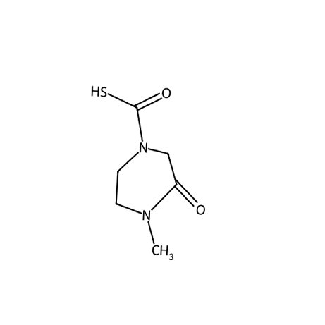 CN1CCN(C(=O)S)CC1=O